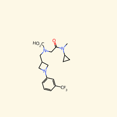 CN(C(=O)CN(CC1CN(c2cccc(C(F)(F)F)c2)C1)C(=O)O)C1CC1